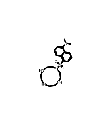 CN(C)c1cccc2c(S(=O)(=O)N3CCNCCNCCNCC3)cccc12